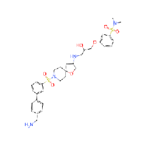 CN(C)S(=O)(=O)c1cccc(OCC(O)CNC2COC3(CCN(S(=O)(=O)c4cccc(-c5ccc(CN)cc5)c4)CC3)C2)c1